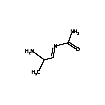 CC(N)C=NC(N)=O